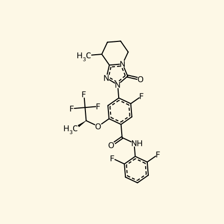 CC1CCCn2c1nn(-c1cc(O[C@@H](C)C(F)(F)F)c(C(=O)Nc3c(F)cccc3F)cc1F)c2=O